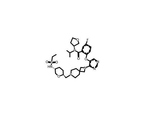 CCS(=O)(=O)N[C@@H]1CC[C@@H](CN2CCC3(CC2)CN(c2ncncc2Oc2ccc(F)cc2C(=O)N(C(C)C)[C@H]2CCOC2)C3)OC1